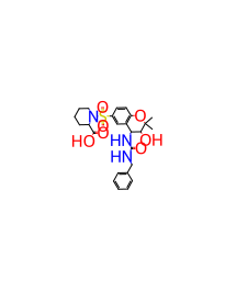 CC1(C)Oc2ccc(S(=O)(=O)N3CCCCC3C(=O)O)cc2C(NC(=O)NCc2ccccc2)C1O